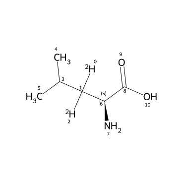 [2H]C([2H])(C(C)C)[C@H](N)C(=O)O